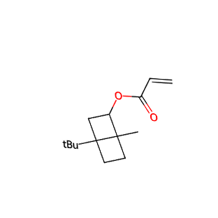 C=CC(=O)OC1CC2(C(C)(C)C)CCC12C